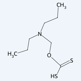 CCCN(CCC)COC(=S)S